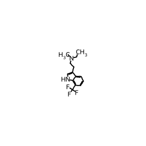 CCN(C)CCc1c[nH]c2c(C(F)(F)F)cccc12